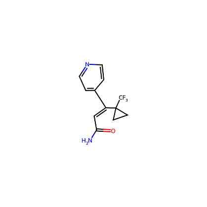 NC(=O)C=C(c1ccncc1)C1(C(F)(F)F)CC1